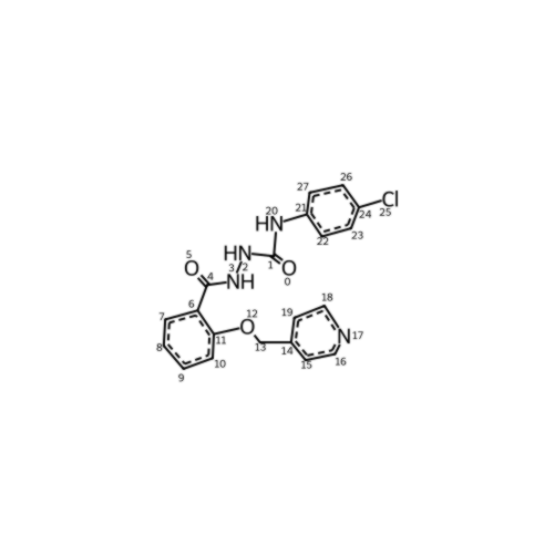 O=C(NNC(=O)c1ccccc1OCc1ccncc1)Nc1ccc(Cl)cc1